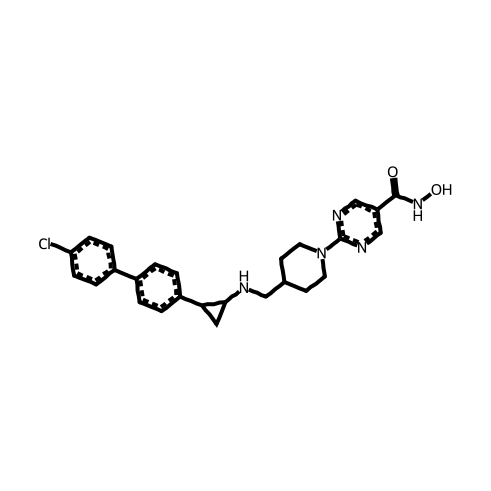 O=C(NO)c1cnc(N2CCC(CNC3CC3c3ccc(-c4ccc(Cl)cc4)cc3)CC2)nc1